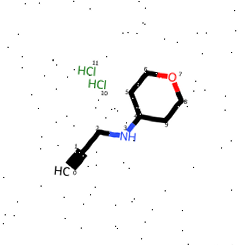 C#CCNC1CCOCC1.Cl.Cl